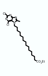 CCOC(=O)CCCCCCCCCCCCCCCn1c(C)nc2nc(Cl)nc(Cl)c21